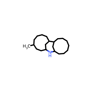 CC1CCCCC2CC(CC1)NC1CCCCCCCC2C1